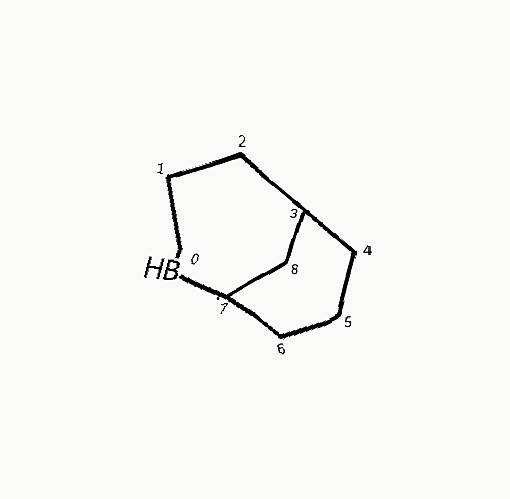 B1CCC2CCC[C]1C2